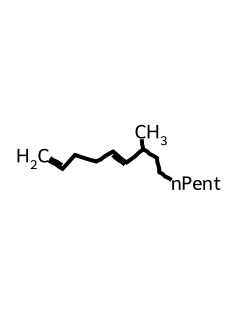 C=CCCC=CC(C)CCCCCCC